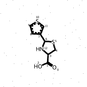 O=C(O)C1CSC(c2ccsc2)N1